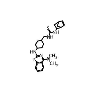 CN(C)c1nc(NC2CCC(CNC(=S)NC3CC4C=CC3C4)CC2)nc2ccccc12